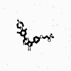 Cc1cc(-c2cnc3[nH]cc(-c4ccc(OCCC(=O)N(C)C)cc4)c3n2)cc(C)c1N1CCN(C)CC1